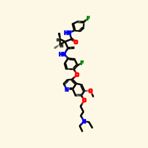 C=C(Nc1ccc(Oc2ccnc3cc(OCCCN(CC)CC)c(OC)cc23)c(F)c1)C1(C(=O)Nc2ccc(F)cc2)[C@H](C)[C@H]1C